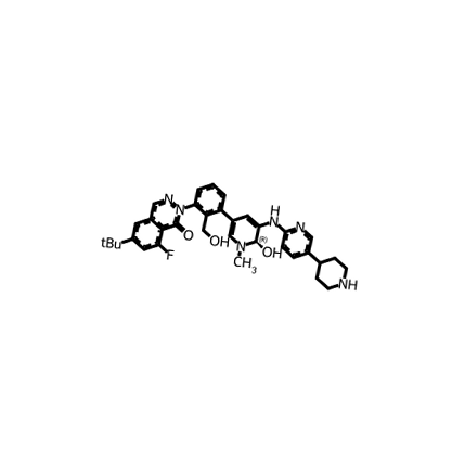 CN1C=C(c2cccc(-n3ncc4cc(C(C)(C)C)cc(F)c4c3=O)c2CO)C=C(Nc2ccc(C3CCNCC3)cn2)[C@H]1O